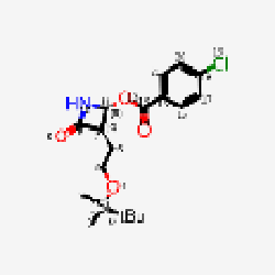 CC(C)(C)[Si](C)(C)OCC[C@H]1C(=O)N[C@@H]1OC(=O)c1ccc(Cl)cc1